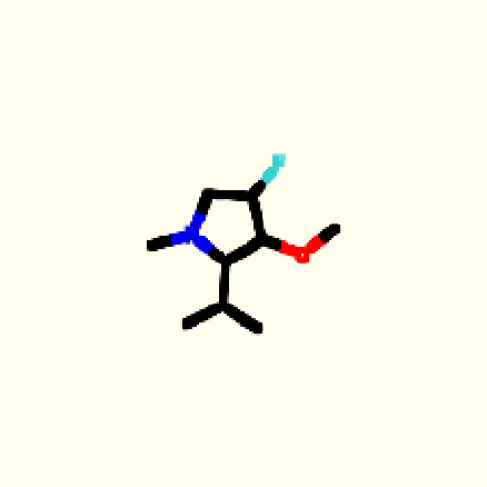 COC1C(F)CN(C)C1C(C)C